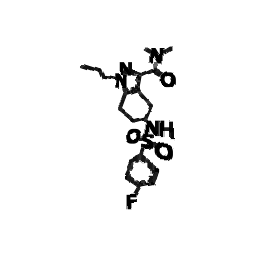 CCCn1nc(C(=O)N(C)C)c2c1CCC(NS(=O)(=O)c1ccc(F)cc1)C2